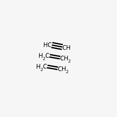 C#C.C=C.C=C